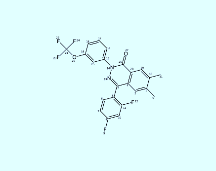 Cc1cc2c(-c3ccc(F)cc3F)nn(-c3cccc(OC(F)(F)F)c3)c(=O)c2cc1C